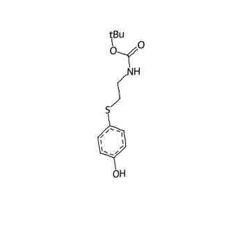 CC(C)(C)OC(=O)NCCSc1ccc(O)cc1